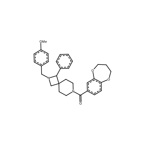 COc1ccc(CN2CC3(CCN(C(=O)c4ccc5c(c4)OCCCO5)CC3)C2c2ccccc2)cc1